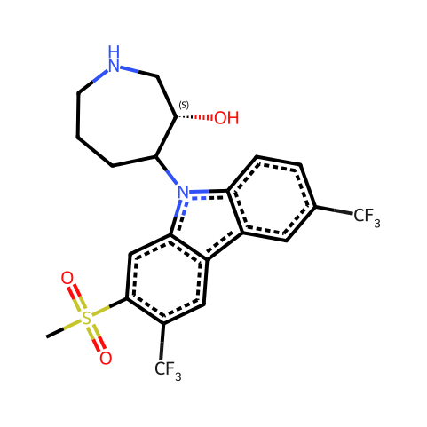 CS(=O)(=O)c1cc2c(cc1C(F)(F)F)c1cc(C(F)(F)F)ccc1n2C1CCCNC[C@@H]1O